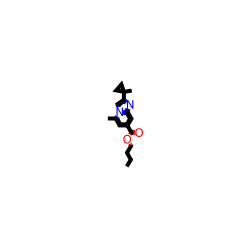 CCCCOC(=O)c1cc(C)n2cc(C3(C)CC3)nc2c1